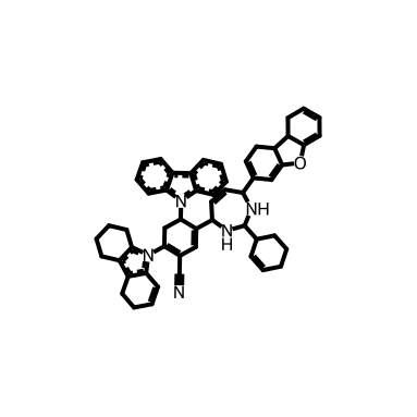 N#CC1=C(n2c3c(c4c2CCCC4)CCC=C3)CC(n2c3ccccc3c3ccccc32)C(C2C=CC(C3=CCC4C(=C3)OC3=CC=CCC34)NC(C3C=CCCC3)N2)=C1